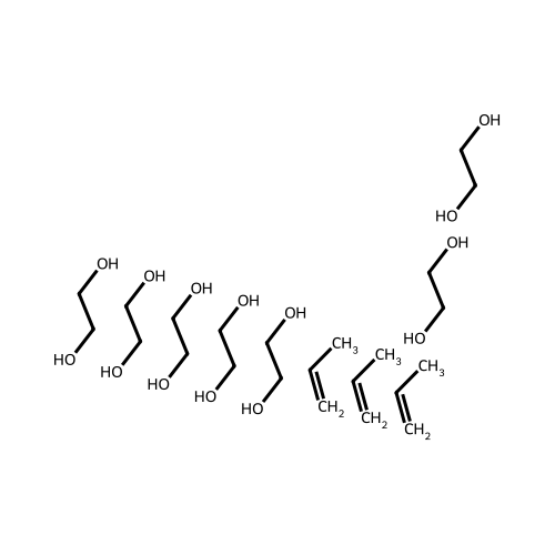 C=CC.C=CC.C=CC.OCCO.OCCO.OCCO.OCCO.OCCO.OCCO.OCCO